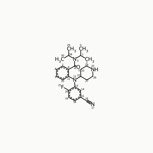 CC(C)N(C(=O)c1ccccc1N(c1cc(C#N)ccc1F)C1CCNCC1)C(C)C